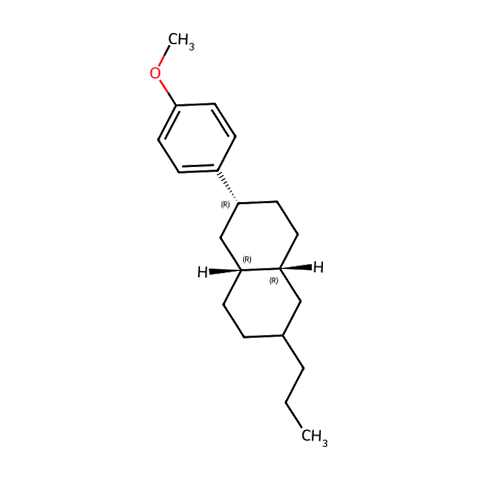 CCCC1CC[C@@H]2C[C@H](c3ccc(OC)cc3)CC[C@@H]2C1